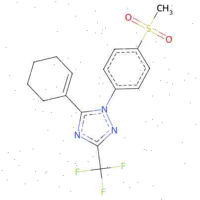 CS(=O)(=O)c1ccc(-n2nc(C(F)(F)F)nc2C2=CCCCC2)cc1